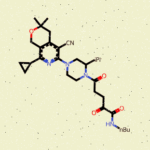 CCCCNC(=O)C(=O)CCC(=O)N1CCN(c2nc(C3CC3)c3c(c2C#N)CC(C)(C)OC3)CC1C(C)C